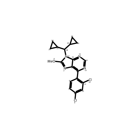 COc1nc2c(-c3ccc(Cl)cc3Cl)ncnc2n1C(C1CC1)C1CC1